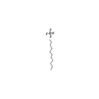 CCC[CH]CCCCCCC.F[B-](F)(F)F